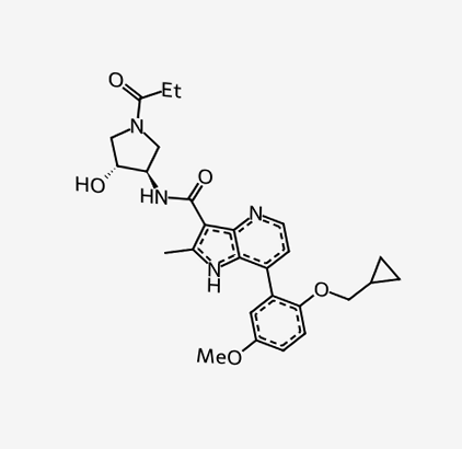 CCC(=O)N1C[C@@H](O)[C@H](NC(=O)c2c(C)[nH]c3c(-c4cc(OC)ccc4OCC4CC4)ccnc23)C1